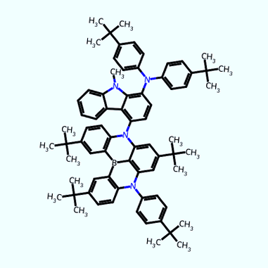 Cn1c2ccccc2c2c(N3c4ccc(C(C)(C)C)cc4B4c5cc(C(C)(C)C)ccc5N(c5ccc(C(C)(C)C)cc5)c5cc(C(C)(C)C)cc3c54)ccc(N(c3ccc(C(C)(C)C)cc3)c3ccc(C(C)(C)C)cc3)c21